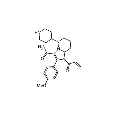 C=CC(=O)N1C(c2ccc(OC)cc2)=C(C(N)=O)N2C1CCCN2C1CCNCC1